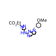 CCOC(=O)Cn1cc(Nc2ncc3ccn(C[C@H]4CCC[C@@H](OC)C4)c3n2)cn1